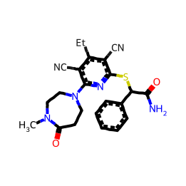 CCc1c(C#N)c(SC(C(N)=O)c2ccccc2)nc(N2CCC(=O)N(C)CC2)c1C#N